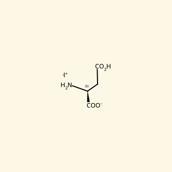 N[C@@H](CC(=O)O)C(=O)[O-].[I+]